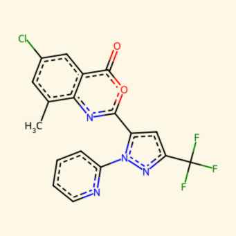 Cc1cc(Cl)cc2c(=O)oc(-c3cc(C(F)(F)F)nn3-c3ccccn3)nc12